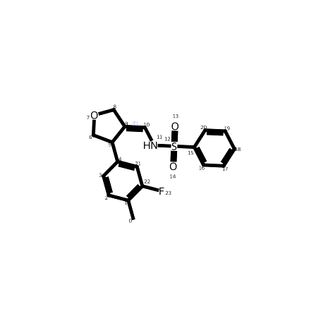 Cc1ccc(C2COC/C2=C/NS(=O)(=O)c2ccccc2)cc1F